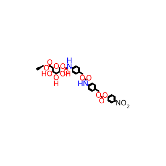 C#CCOC(=O)C1OC(OC(=O)Nc2ccc(COC(=O)Nc3ccc(COC(=O)Oc4ccc([N+](=O)[O-])cc4)cc3)cc2)C(O)C(O)C1O